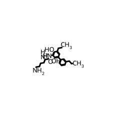 CCCc1cccc(-c2cc(CCC)c(O)c(NC(=O)C(N)CCCCN)c2O)c1